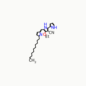 C=CCCCCCCCCCC1=NC(=Cc2[nH]c(-c3ccc[nH]3)c(C#N)c2OCC)C=C1